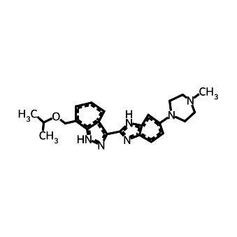 CC(C)OCc1cccc2c(-c3nc4ccc(N5CCN(C)CC5)cc4[nH]3)n[nH]c12